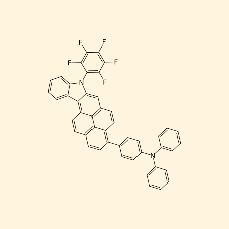 Fc1c(F)c(F)c(-n2c3ccccc3c3c4ccc5ccc(-c6ccc(N(c7ccccc7)c7ccccc7)cc6)c6ccc(cc32)c4c56)c(F)c1F